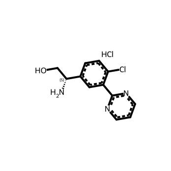 Cl.N[C@H](CO)c1ccc(Cl)c(-c2ncccn2)c1